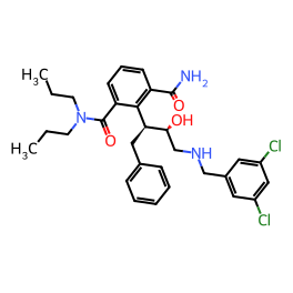 CCCN(CCC)C(=O)c1cccc(C(N)=O)c1[C@H](Cc1ccccc1)[C@@H](O)CNCc1cc(Cl)cc(Cl)c1